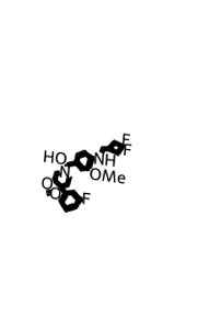 COc1cc(C(O)N2CCC3(c4cccc(F)c4)OCOC3C2)ccc1NCC1CC(F)(F)C1